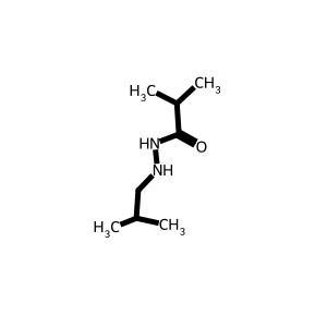 CC(C)CNNC(=O)C(C)C